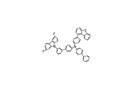 Fc1ccc2c(c1)c1ccc(F)cc1n2-c1cccc(-c2ccc(N(c3ccc(-c4ccccc4)cc3)c3ccc(-c4cccc5sc6ccccc6c45)cc3)cc2)c1